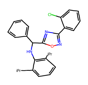 CC(C)c1cccc(C(C)C)c1NC(c1ccccc1)c1nc(-c2ccccc2Cl)no1